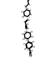 CCCC[C@H]1CC[C@H](/C=C/C#C[C@H]2CC[C@H](c3ccc(C#N)cc3)CC2)CC1